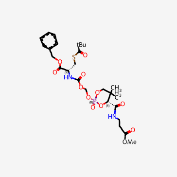 COC(=O)CCNC(=O)[C@@H]1O[P@](=O)(OCOC(=O)N[C@@H](CSC(=O)C(C)(C)C)C(=O)OCc2ccccc2)OCC1(C)C